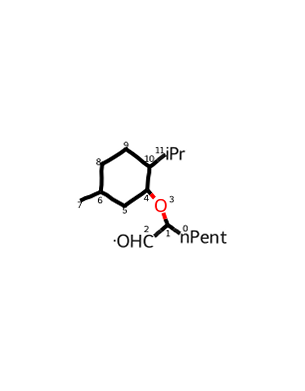 CCCCCC([C]=O)OC1CC(C)CCC1C(C)C